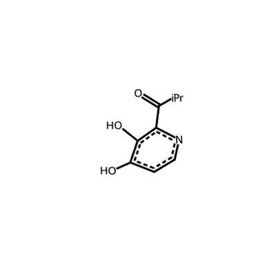 CC(C)C(=O)c1nccc(O)c1O